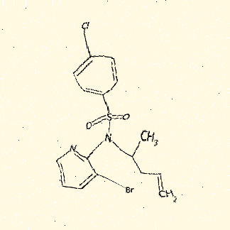 C=CCC(C)N(c1ncccc1Br)S(=O)(=O)c1ccc(Cl)cc1